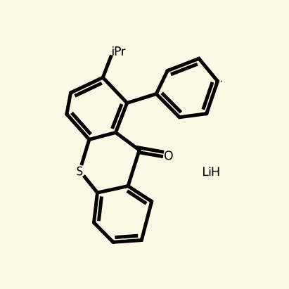 CC(C)c1ccc2sc3ccccc3c(=O)c2c1-c1cc[c]cc1.[LiH]